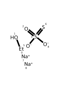 CCO.O=S([O-])([O-])=S.[Na+].[Na+]